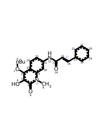 CCCCOc1c(O)c(=O)n(C)c2cc(NC(=O)/C=C/c3ccccc3)ccc12